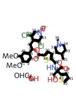 COc1ccc(C(Cc2c(Cl)c[n+]([O-])cc2Cl)OC(=O)c2ccc(CNC(CO)(C(=O)OCC3CCN(C)CC3)c3cccs3)s2)cc1OC.O=CO